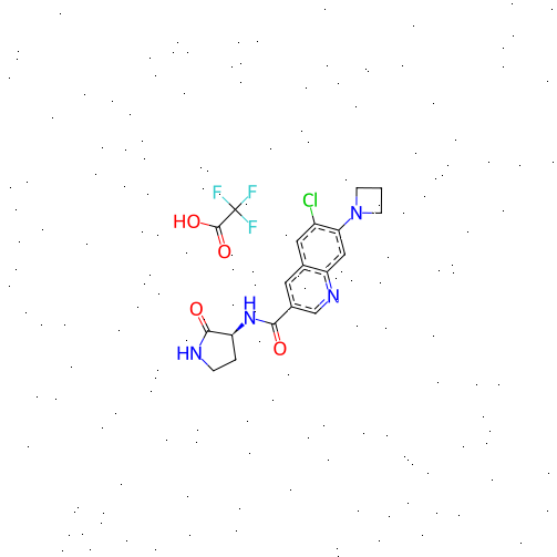 O=C(N[C@H]1CCNC1=O)c1cnc2cc(N3CCC3)c(Cl)cc2c1.O=C(O)C(F)(F)F